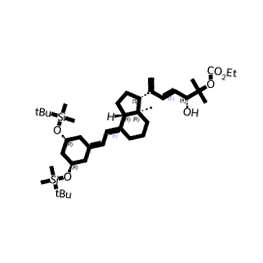 C=C(/C=C/[C@@H](O)C(C)(C)OC(=O)OCC)[C@H]1CC[C@H]2/C(=C/C=C3C[C@@H](O[Si](C)(C)C(C)(C)C)C[C@H](O[Si](C)(C)C(C)(C)C)C3)CCC[C@]12C